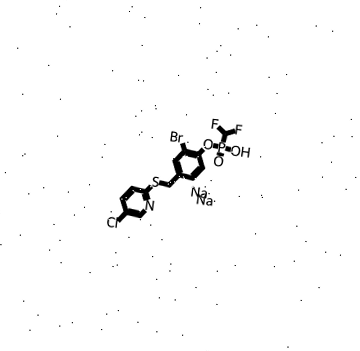 O=P(O)(Oc1ccc(CSc2ccc(Cl)cn2)cc1Br)C(F)F.[Na].[Na]